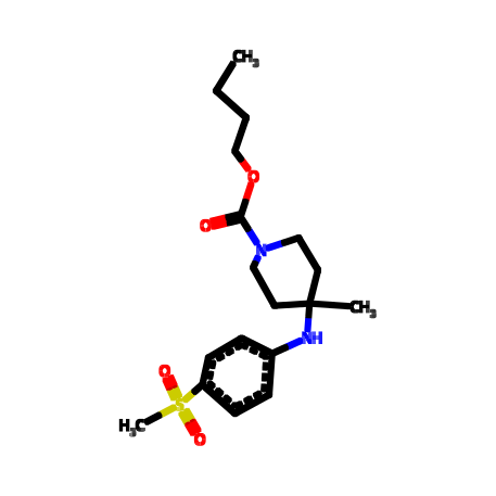 CCCCOC(=O)N1CCC(C)(Nc2ccc(S(C)(=O)=O)cc2)CC1